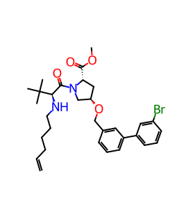 C=CCCCCN[C@H](C(=O)N1C[C@H](OCc2cccc(-c3cccc(Br)c3)c2)C[C@H]1C(=O)OC)C(C)(C)C